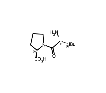 CC[C@@H](C)[C@@H](N)C(=O)N1CCC[C@@H]1C(=O)O